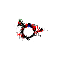 COCCOCCO[C@H]1C[C@@H]2CC[C@@H](C)[C@@](O)(O2)C(=O)C(=O)N2CCCC[C@H]2C(=O)O[C@H]([C@H](C)C[C@@H]2CC[C@@H](OC(F)F)[C@H](OC)C2)CC(=O)[C@H](C)/C=C(\C)[C@@H](O)[C@@H](OC)C(=O)[C@H](C)C[C@H](C)/C=C/C=C/C=C/1C